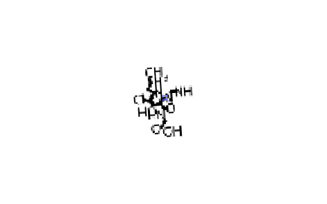 CCCCc1[nH]/c(=N\C=N)c(C(=O)NCC(=O)O)c(O)c1Cl